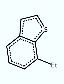 CCc1cccc2c[c]sc12